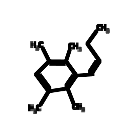 CC/C=[C]\c1c(C)c(C)cc(C)c1C